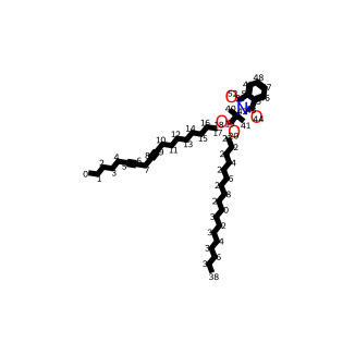 CCCCCC#CCC#CCCCCCCCCOC(OCCCCCCCCCCCCCCCCCC)C(C)(C)N1C(=O)c2ccccc2C1=O